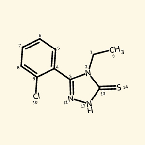 CCn1c(-c2ccccc2Cl)n[nH]c1=S